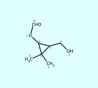 CC1(C)C(CO)C1OC=O